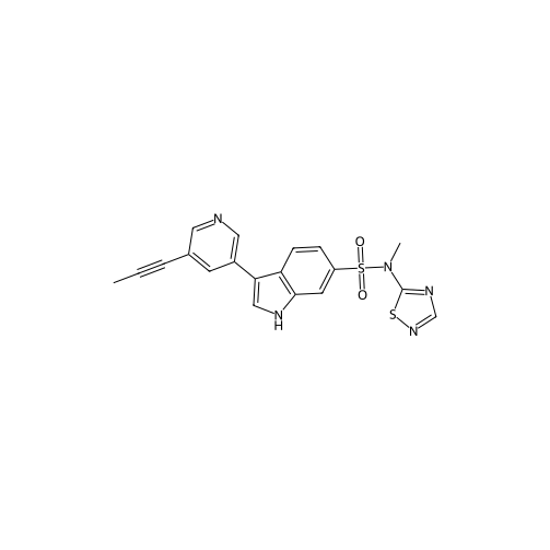 CC#Cc1cncc(-c2c[nH]c3cc(S(=O)(=O)N(C)c4ncns4)ccc23)c1